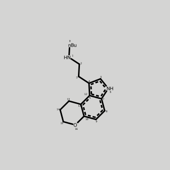 CCCCNCCc1c[nH]c2ccc3c(c12)CCCO3